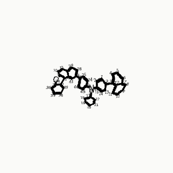 C1=CC(c2cccc3ccccc23)CC=C1N(c1ccccc1)c1ccc(-c2ccc3ccc4oc5ccccc5c4c3c2)cc1